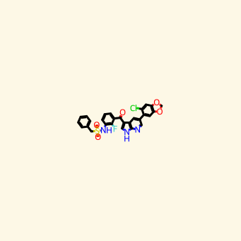 O=C(c1cccc(NS(=O)(=O)Cc2ccccc2)c1F)c1c[nH]c2ncc(-c3cc4c(cc3Cl)OCO4)cc12